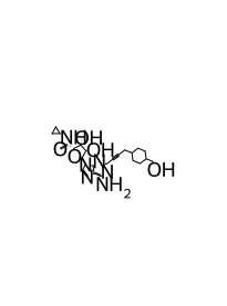 Nc1nc(C#CCC2CCC(CO)CC2)nc2c1ncn2C1O[C@H](C(=O)NC2CC2)[C@H](O)[C@@H]1O